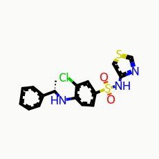 C[C@H](Nc1ccc(S(=O)(=O)Nc2cscn2)cc1Cl)c1ccccc1